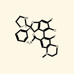 CN1CCOc2c1cc(C(N)=O)c(-c1c(Cl)c(F)cc3c1C[C@](c1ccccc1)([C@@H]1CCCN1)O3)c2F